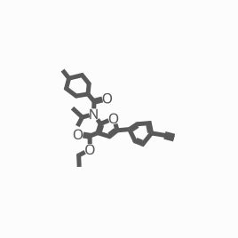 C#Cc1ccc(-c2cc(C(=O)OCC)c(N(C(=O)C3CCC(C)CC3)C(C)C)o2)cc1